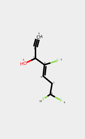 C#CC(O)C(F)=CCC(F)F